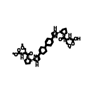 COC[C@H](NC(=O)O)C(=O)N1CCC[C@H]1c1nc(-c2ccc(C3CC=C(c4c[nH]c([C@@H]5CCCN5C(=O)[C@H](COC)NC(=O)OC)n4)CC3)cc2)c[nH]1